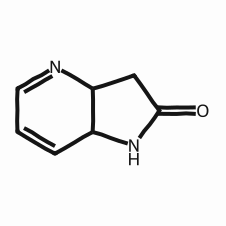 O=C1CC2N=CC=CC2N1